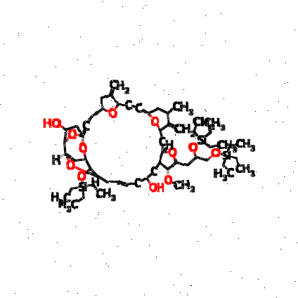 C=C1CC2CC[C@]34CC(O)C(O3)[C@H]3CC(O4)C(O[Si](CC)(CC)CC)[C@H](C/C=C/CC(O)CC4[C@@H](OC)C(CC(CO[Si](CC)(CC)CC)O[Si](CC)(CC)CC)O[C@H]4CC4OC(CCC1O2)CC(C)C4=C)O3